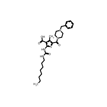 CCCCCCCCNC(=O)Nc1sc(C(=O)N2CCN(Cc3ccccc3)CC2)c(C)c1C(=O)O